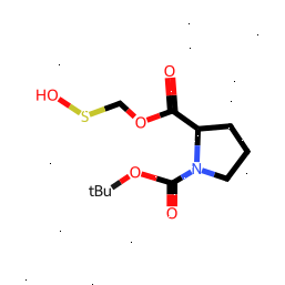 CC(C)(C)OC(=O)N1CCCC1C(=O)OCSO